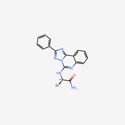 CC[C@@H](Nc1nc2ccccc2c2nc(-c3ccccc3)nn12)C(N)=O